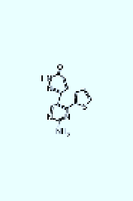 Nc1ncc(-c2ccc(=O)[nH]n2)c(-c2cccs2)n1